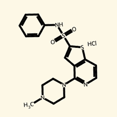 CN1CCN(c2nccc3sc(S(=O)(=O)Nc4ccccc4)cc23)CC1.Cl